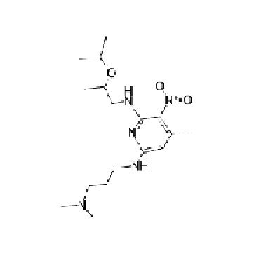 Cc1cc(NCCCN(C)C)nc(NCC(C)OC(C)C)c1[N+](=O)[O-]